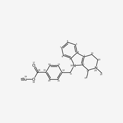 CC1c2c(c3ccccc3n2Cc2ccc(C(=O)OC(C)(C)C)cc2)CCN1C